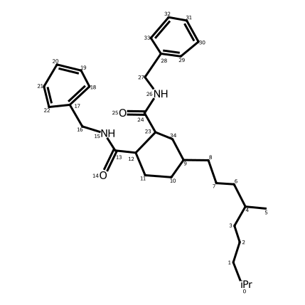 CC(C)CCCC(C)CCCC1CCC(C(=O)NCc2ccccc2)C(C(=O)NCc2ccccc2)C1